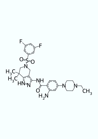 CCN1CCN(c2ccc(C(=O)Nc3n[nH]c4c3CN(S(=O)(=O)c3cc(F)cc(F)c3)CC4(C)C)c(N)c2)CC1